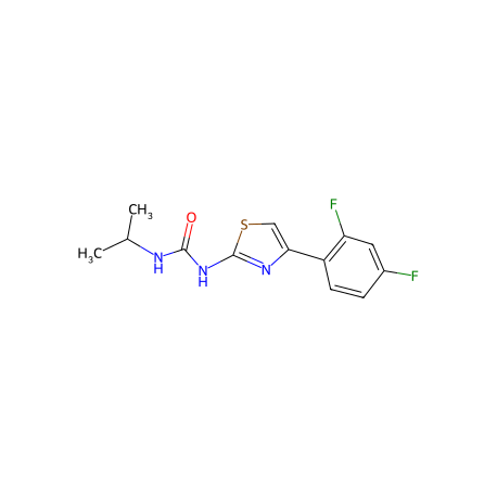 CC(C)NC(=O)Nc1nc(-c2ccc(F)cc2F)cs1